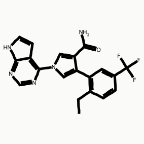 CCc1ccc(C(F)(F)F)cc1-c1cn(-c2ncnc3[nH]ccc23)cc1C(N)=O